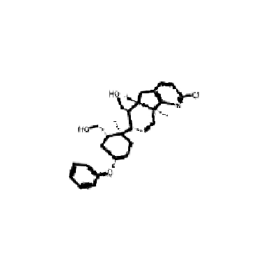 C[C@]1([C@H]2CC[C@]3(C)c4nc(Cl)ccc4C[C@H]3[C@@H]2CO)CC[C@H](Oc2ccccc2)C[C@@H]1CO